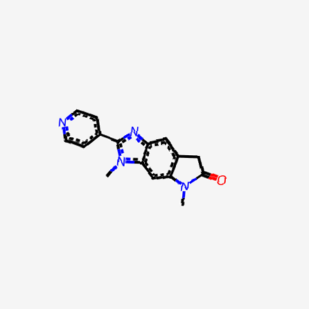 CN1C(=O)Cc2cc3nc(-c4ccncc4)n(C)c3cc21